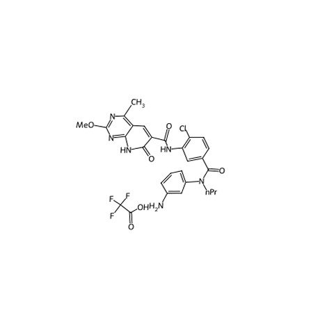 CCCN(C(=O)c1ccc(Cl)c(NC(=O)c2cc3c(C)nc(OC)nc3[nH]c2=O)c1)c1cccc(N)c1.O=C(O)C(F)(F)F